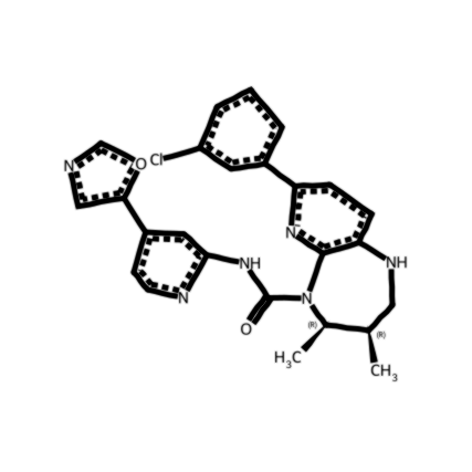 C[C@@H]1CNc2ccc(-c3cccc(Cl)c3)nc2N(C(=O)Nc2cc(-c3cnco3)ccn2)[C@@H]1C